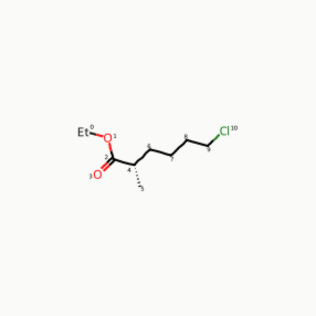 CCOC(=O)[C@@H](C)CCCCCl